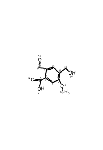 COc1cc(C(=O)O)c(C=O)cc1CO